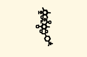 Cc1cc(C)c(CNC(=O)c2c(C)c3c(c(Cl)c2F)OC[C@H](C2CCC(N(C)C)CC2)O3)c(=O)[nH]1